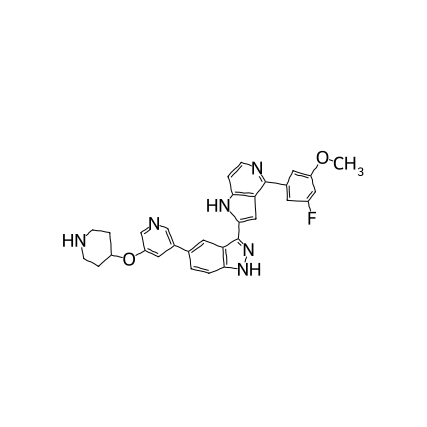 COc1cc(F)cc(-c2nccc3[nH]c(-c4n[nH]c5ccc(-c6cncc(OC7CCNCC7)c6)cc45)cc23)c1